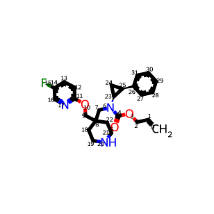 C=CCOC(=O)N(CC1(COc2ccc(F)cn2)CCNCC1)[C@@H]1C[C@H]1c1ccccc1